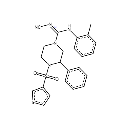 Cc1ccccc1N/C(=N/C#N)N1CCN(S(=O)(=O)c2ccsc2)C(c2ccccc2)C1